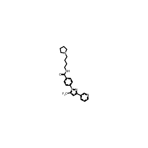 O=C(NCCCCN1CCCC1)c1ccc(-n2nc(-c3cccnc3)cc2C(F)(F)F)cc1